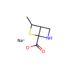 CC1SC2(C(=O)[O-])NCC12.[Na+]